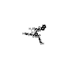 CSCC[C@H](NC(=O)[C@@H]1C[C@H](C(=O)NCCOCCO)C[C@H](C(=O)NCCOCCO)C1)C(=O)Nc1ccc2ccccc2c1